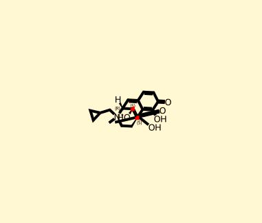 C[N+]1(CC2CC2)CC[C@@]23C4=C(O)C(=O)C=CC4=C[C@@H]1[C@]2(O)CCC(=O)C3O